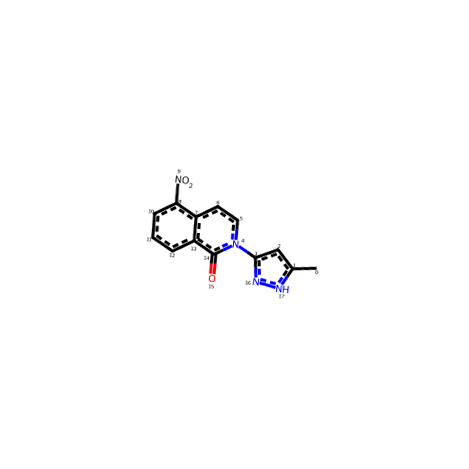 Cc1cc(-n2ccc3c([N+](=O)[O-])cccc3c2=O)n[nH]1